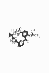 C[C@H](Oc1ccc(S(C)(=O)=O)cc1C(=O)N1CC2CC2(c2nnc(C3(C(F)(F)F)CC3)o2)C1)C(F)(F)F